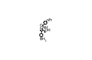 Bc1ccc(-c2csc(NC(=O)c3ccc(CCC)cc3)c2C(=C)O)cc1